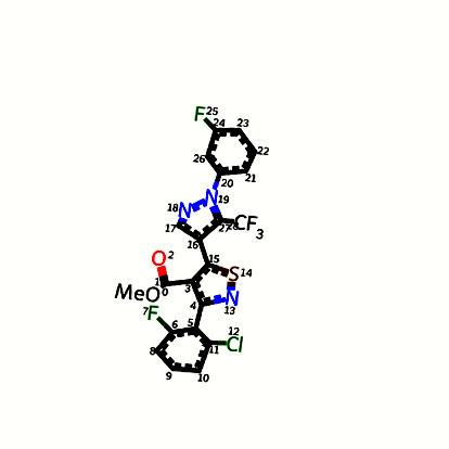 COC(=O)c1c(-c2c(F)cccc2Cl)nsc1-c1cnn(-c2cccc(F)c2)c1C(F)(F)F